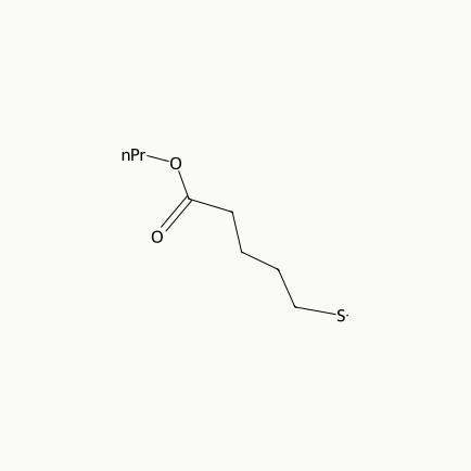 CCCOC(=O)CCCC[S]